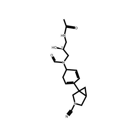 CC(=O)NC[C@H](O)CN(C=O)C1C=CC(C23CC2CN(C#N)C3)=CC1